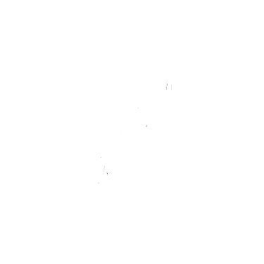 CN(Cl)Cc1ccc(-c2ccc(O)cc2)cc1